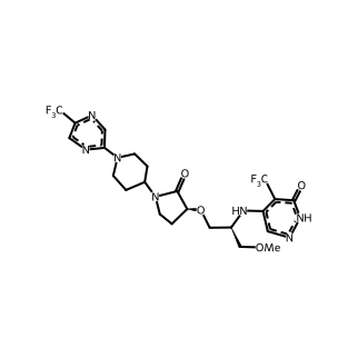 COC[C@@H](CO[C@H]1CCN(C2CCN(c3cnc(C(F)(F)F)cn3)CC2)C1=O)Nc1cn[nH]c(=O)c1C(F)(F)F